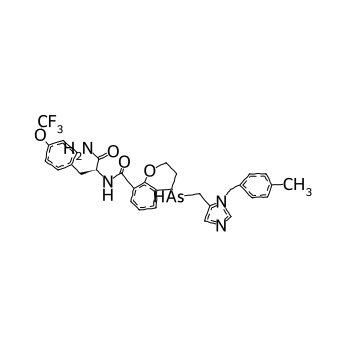 Cc1ccc(Cn2cncc2C[AsH]C2CCOc3c(C(=O)N[C@@H](Cc4ccc(OC(F)(F)F)cc4)C(N)=O)cccc32)cc1